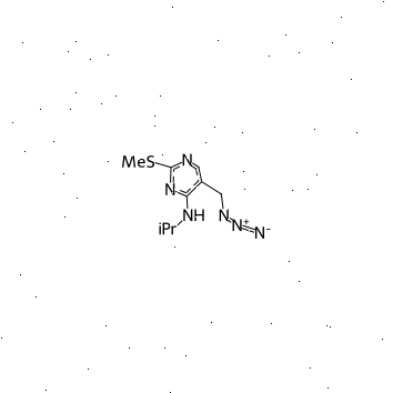 CSc1ncc(CN=[N+]=[N-])c(NC(C)C)n1